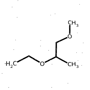 [CH2]COC(C)COC